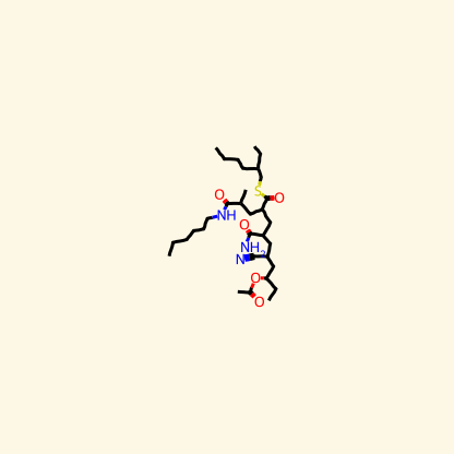 CCCCCCNC(=O)C(C)CC(CC(CC(C#N)CC(CC)OC(C)=O)C(N)=O)C(=O)SCC(CC)CCCC